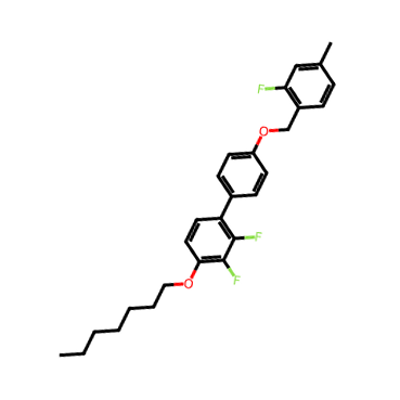 CCCCCCCOc1ccc(-c2ccc(OCc3ccc(C)cc3F)cc2)c(F)c1F